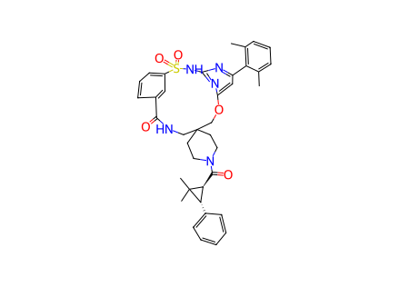 Cc1cccc(C)c1-c1cc2nc(n1)NS(=O)(=O)c1cccc(c1)C(=O)NCC1(CCN(C(=O)[C@H]3[C@H](c4ccccc4)C3(C)C)CC1)CO2